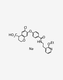 CCOc1ncccc1CCNC(=O)c1ccc(Oc2cc3c(cc2Cl)C(C(=O)O)CCO3)cc1.[Na]